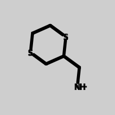 [NH]CC1CSCCS1